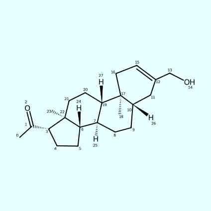 CC(=O)[C@H]1CC[C@H]2[C@@H]3CC[C@H]4CC(CO)=CC[C@]4(C)[C@H]3CC[C@]12C